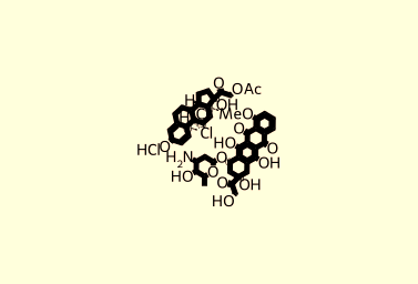 CC(=O)OCC(=O)[C@@]1(O)CC[C@H]2[C@@H]3CCC4=CC(=O)C=C[C@]4(C)[C@@]3(Cl)[C@@H](Cl)C[C@@]21C.COc1cccc2c1C(=O)c1c(O)c3c(c(O)c1C2=O)C[C@@](O)(C(=O)CO)C[C@@H]3OC1CC(N)C(O)C(C)O1.Cl